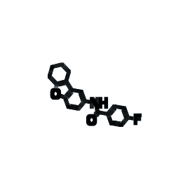 O=C(Nc1ccc2oc3c(c2c1)CCCC3)c1ccc(F)cc1